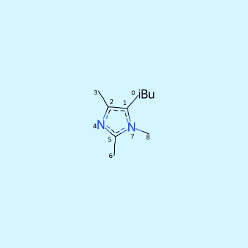 CCC(C)c1c(C)nc(C)n1C